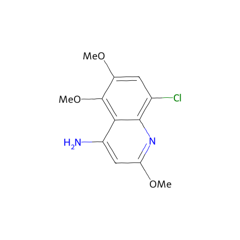 COc1cc(N)c2c(OC)c(OC)cc(Cl)c2n1